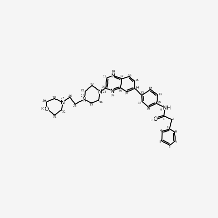 O=C(Cc1ccccc1)Nc1ccc(-c2ccc3ncc(N4CCN(CCN5CCOCC5)CC4)nc3c2)cc1